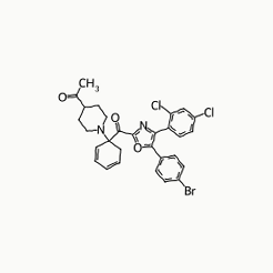 CC(=O)C1CCN(C2(C(=O)c3nc(-c4ccc(Cl)cc4Cl)c(-c4ccc(Br)cc4)o3)C=CC=CC2)CC1